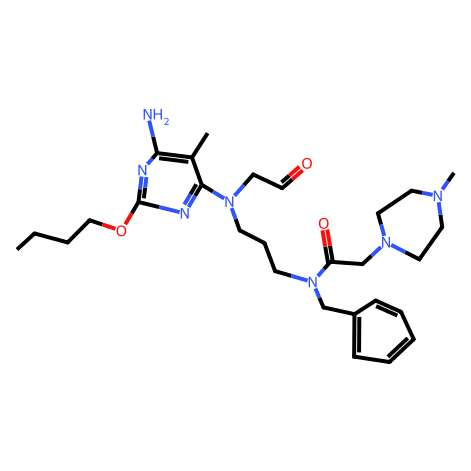 CCCCOc1nc(N)c(C)c(N(CC=O)CCCN(Cc2ccccc2)C(=O)CN2CCN(C)CC2)n1